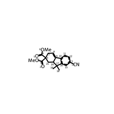 COC(=O)C1(C(=O)OC)CC=C2c3ccc(C#N)cc3C(C)(C)C2C1